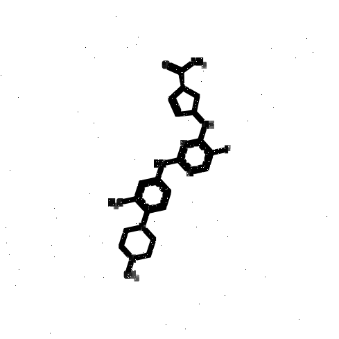 Cc1cc(Nc2ncc(F)c(NC3C=C[C@@H](C(N)=O)C3)n2)ccc1N1CCN(C)CC1